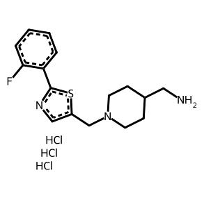 Cl.Cl.Cl.NCC1CCN(Cc2cnc(-c3ccccc3F)s2)CC1